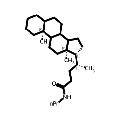 CCCNC(=O)CC[C@@H](C)[C@H]1CCC2C3CCC4CCCC[C@]4(C)C3CC[C@@]21C